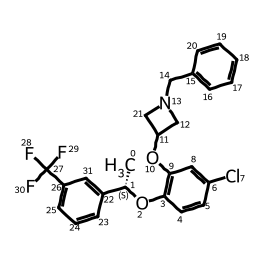 C[C@H](Oc1ccc(Cl)cc1OC1CN(Cc2ccccc2)C1)c1cccc(C(F)(F)F)c1